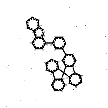 c1cc(-c2ccc3c(c2)C2(c4ccccc4-c4ccccc42)c2ccccc2-3)cc(-c2cccc3c2sc2ccccc23)c1